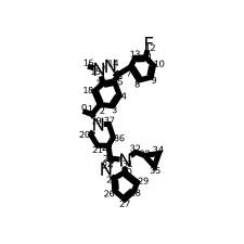 CC(c1ccc2c(-c3cccc(F)c3)nn(C)c2c1)N1CCC(c2nc3ccccc3n2CC2CC2)CC1